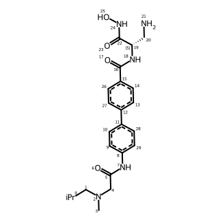 CC(C)CN(C)CC(=O)Nc1ccc(-c2ccc(C(=O)N[C@@H](CN)C(=O)NO)cc2)cc1